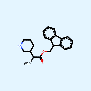 O=C(O)C(C(=O)OCC1c2ccccc2-c2ccccc21)C1CCCNC1